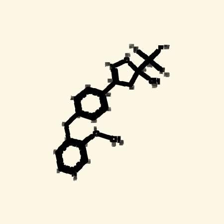 COc1cnccc1Cc1ccc(C2=NOC(O)(C(F)(F)F)C2)cc1